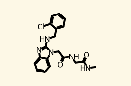 CNC(=O)CNC(=O)Cn1c(NCc2ccccc2Cl)nc2ccccc21